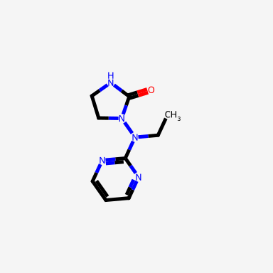 CCN(c1ncccn1)N1CCNC1=O